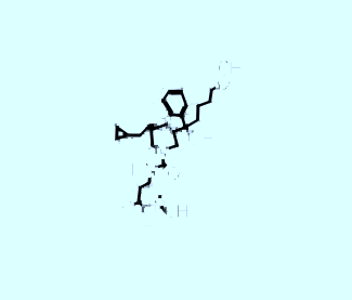 CNC[C@H](CC(C)C)NC(=O)N1CCC[C@@H]([C@@](O)(CCCCOC)c2ccccc2OCCC2CC2)C1